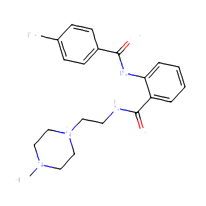 CN1CCN(CCNC(=O)c2ccccc2NC(=O)c2ccc(C(F)(F)F)cc2)CC1